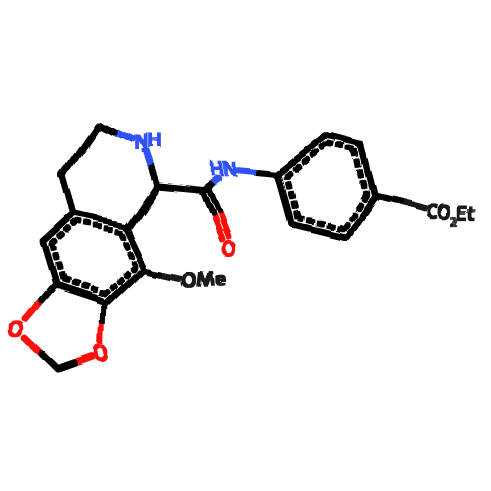 CCOC(=O)c1ccc(NC(=O)C2NCCc3cc4c(c(OC)c32)OCO4)cc1